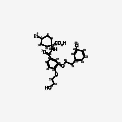 CC[C@H]1CC[C@](NC(=O)c2ccc(OCCO)c(OCCc3cccc(Cl)c3)c2)(C(=O)O)CC1